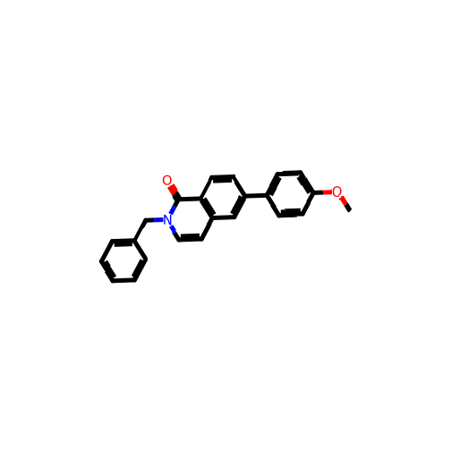 COc1ccc(-c2ccc3c(=O)n(Cc4ccccc4)ccc3c2)cc1